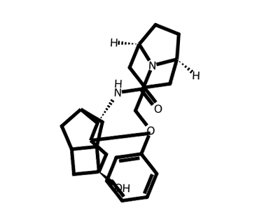 CC1C[C@]2(O)CC3CC(CC32)[C@@H]1NC(=O)N1[C@@H]2CC[C@H]1CC(COc1ccccc1)C2